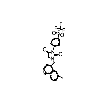 Cc1ccc2nccc(CN3CC(=O)N(c4ccc(S(=O)(=O)C(F)(F)F)cc4)C3=O)c2c1